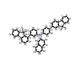 CC1(C)c2ccccc2-c2ccc(-c3ccc(N(c4cccc(-c5cccc6c5C(C)(C)c5ccccc5-6)c4)c4ccc5ccccc5c4)cc3)cc21